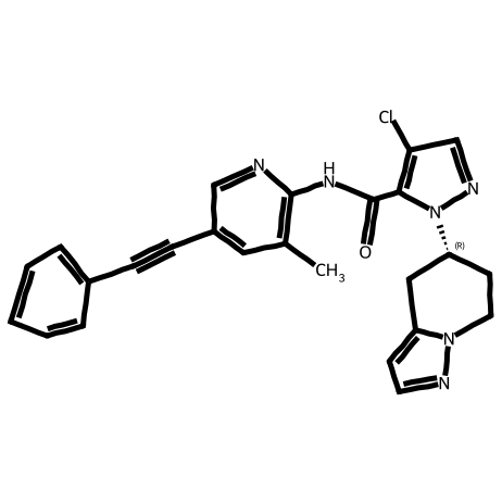 Cc1cc(C#Cc2ccccc2)cnc1NC(=O)c1c(Cl)cnn1[C@@H]1CCn2nccc2C1